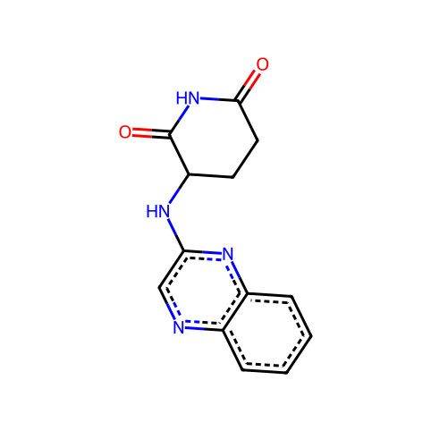 O=C1CCC(Nc2cnc3ccccc3n2)C(=O)N1